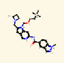 C[C@@H]1CCN1Cc1cc2cnc(NC(=O)c3ccc4c(cnn4C)c3)cc2n1COCC[Si](C)(C)C